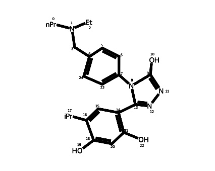 CCCN(CC)Cc1ccc(-n2c(O)nnc2-c2cc(C(C)C)c(O)cc2O)cc1